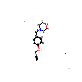 C#CCOc1ccc(CN2CCOCC2)cc1